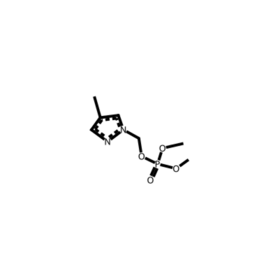 COP(=O)(OC)OCn1cc(C)cn1